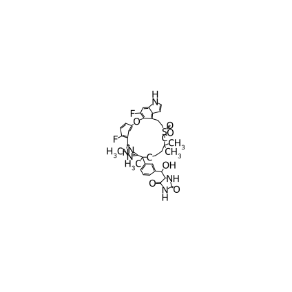 Cn1nc2nc1-c1cc(ccc1F)Oc1c(F)cc3[nH]ccc3c1CCS(=O)(=O)CC(C)(C)CCCC2(C)c1cccc(C(O)C2NC(=O)NC2=O)c1